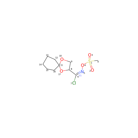 CS(=O)(=O)O/N=C(/Cl)C1COC2(CCCCC2)O1